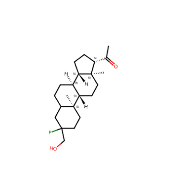 CC(=O)[C@H]1CC[C@H]2[C@@H]3CCC4CC(F)(CO)CC[C@]4(C)[C@H]3CC[C@]12C